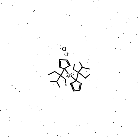 CCC(CC)(C(C)C)[C]1([Zr+2][C]2(C(CC)(CC)C(C)C)C=CC=C2)C=CC=C1.[Cl-].[Cl-]